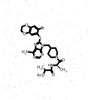 CC(=O)OC(C)C(=O)N[C@H](C)C(=O)N1CCC(Cn2c(Sc3cc4c(cc3Br)OCCO4)nc3c(N)ncnc32)CC1